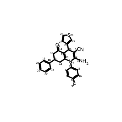 N#CC1=C(N)N(c2ccc(F)cc2)C2=C(C(=O)CC(c3ccccc3)C2)C1c1ccsc1